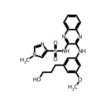 COc1cc(CCCO)cc(Nc2nc3ccccc3nc2NS(=O)(=O)c2cn(C)cn2)c1